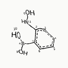 ONc1ccccc1B(O)O